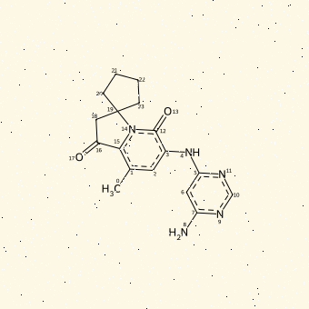 Cc1cc(Nc2cc(N)ncn2)c(=O)n2c1C(=O)CC21CCCC1